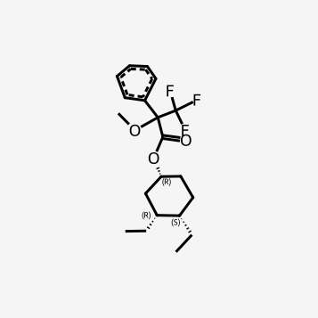 CC[C@@H]1C[C@H](OC(=O)C(OC)(c2ccccc2)C(F)(F)F)CC[C@@H]1CC